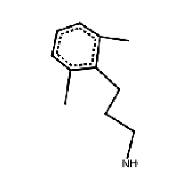 Cc1cccc(C)c1CCC[NH]